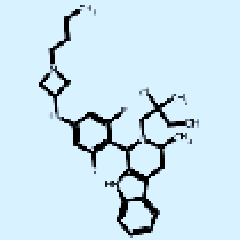 CCCCN1CC(Nc2cc(F)c(C3c4[nH]c5ccccc5c4CC(C)N3CC(C)(Cl)CO)c(F)c2)C1